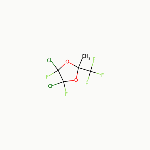 CC1(C(F)(F)F)OC(F)(Cl)C(F)(Cl)O1